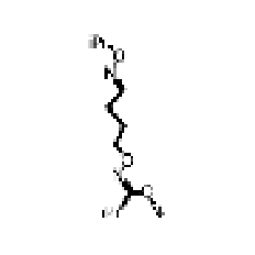 CC(C)ON=CCCCON=C(O[N])C(C)C